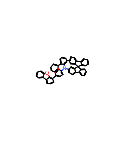 Cc1ccc2c(c1)C1(c3ccccc3-2)c2ccccc2-c2ccc(N(c3ccc(-c4cccc5c4oc4ccccc45)cc3)c3ccccc3-c3ccccc3)cc21